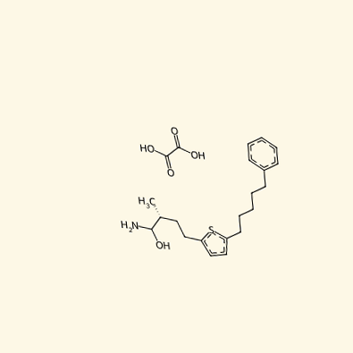 C[C@H](CCc1ccc(CCCCCc2ccccc2)s1)C(N)O.O=C(O)C(=O)O